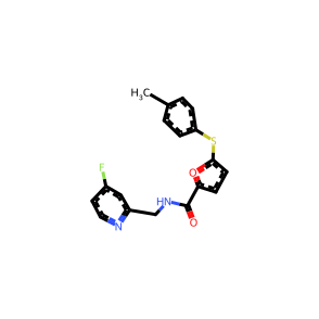 Cc1ccc(Sc2ccc(C(=O)NCc3cc(F)ccn3)o2)cc1